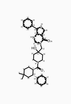 CC1(C)CC[C@@H](C(=O)N2CCC(O)(Cn3cnc4c(-c5ccccc5)scc4c3=O)CC2)[C@H](c2ccccc2)C1